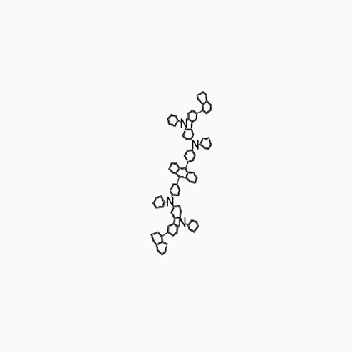 c1ccc(N(c2ccc(-c3c4ccccc4c(-c4ccc(N(c5ccccc5)c5ccc6c(c5)c5cc(-c7cccc8ccccc78)ccc5n6-c5ccccc5)cc4)c4ccccc34)cc2)c2ccc3c(c2)c2cc(-c4cccc5ccccc45)ccc2n3-c2ccccc2)cc1